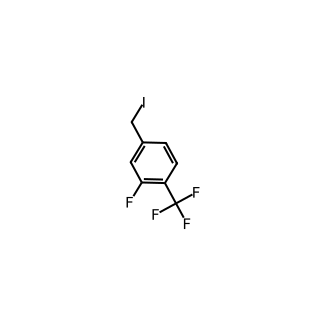 Fc1cc(CI)ccc1C(F)(F)F